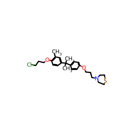 Cc1cc(C(C)(C)c2ccc(OCCCN3CCSCC3)cc2)ccc1OCCCCl